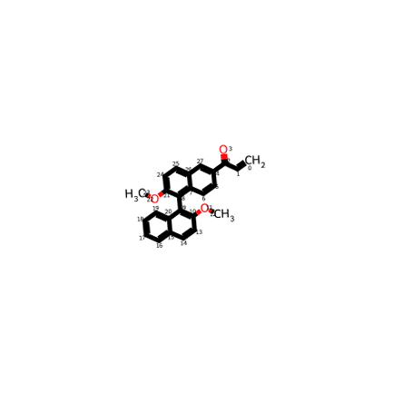 C=CC(=O)c1ccc2c(-c3c(OC)ccc4ccccc34)c(OC)ccc2c1